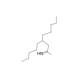 CCCCCC(CCCCC)CC(C)=N